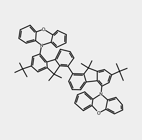 CC(C)(C)c1cc(N2c3ccccc3Oc3ccccc32)c2c(c1)C(C)(C)c1c(-c3cccc4c3C(C)(C)c3cc(C(C)(C)C)cc(N5c6ccccc6Oc6ccccc65)c3-4)cccc1-2